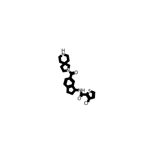 O=C(NC1CCc2ccc(C(=O)N3CCC4(CCNCC4)C3)cc21)c1sccc1Cl